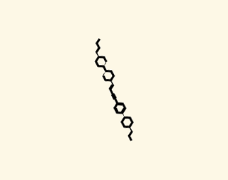 CCCC[C@H]1CC[C@H]([C@H]2CC[C@H](C=CC#Cc3ccc([C@H]4CC[C@H](CCC)CC4)cc3)CC2)CC1